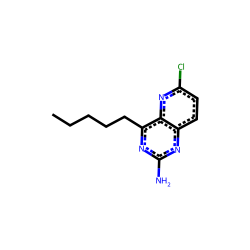 CCCCCc1nc(N)nc2ccc(Cl)nc12